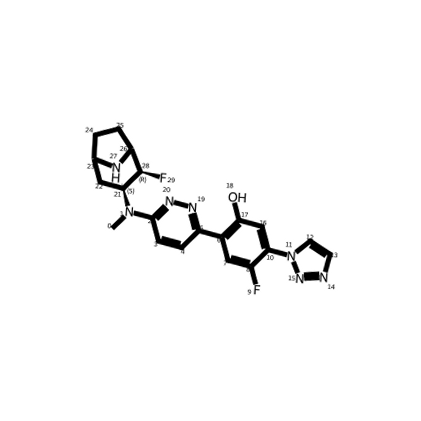 CN(c1ccc(-c2cc(F)c(-n3ccnn3)cc2O)nn1)[C@H]1CC2CCC(N2)[C@H]1F